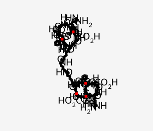 CC(CCCCNC(=O)CCCCCNC(=O)[C@@H]1CSCC(=O)N[C@H](CC(=O)O)C(=O)N[C@H]2CSSC[C@H](NC(=O)[C@@H](CC(=O)O)NC(=O)CNC(=O)[C@@H](CCCNC(=N)N)NC2=O)C(=O)N[C@H](Cc2ccccc2)C(=O)N1)NC(=O)CCCCCNC(=O)[C@@H]1CSCC(=O)N[C@@H](CC(=O)O)C(=O)N[C@H]2CSSC[C@H](NC(=O)[C@@H](CC(=O)O)NC(=O)CNC(=O)[C@@H](CCCNC(=N)N)NC2=O)C(=O)N[C@H](Cc2ccccc2)C(=O)N1